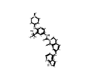 CC1c2cc(Oc3ccnc4[nH]ccc34)ccc2CCN1C(=O)Nc1cnc(OC2CCN(C)CC2)c(C(F)(F)F)c1